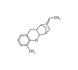 CC=C1CC2CC1C1Cc3cccc(C)c3OC21